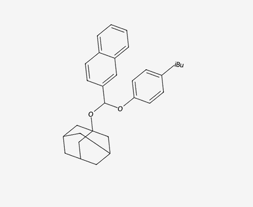 CCC(C)c1ccc(OC(OC23CC4CC(CC(C4)C2)C3)c2ccc3ccccc3c2)cc1